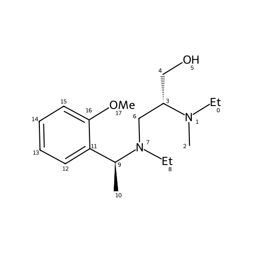 CCN(C)[C@@H](CO)CN(CC)[C@@H](C)c1ccccc1OC